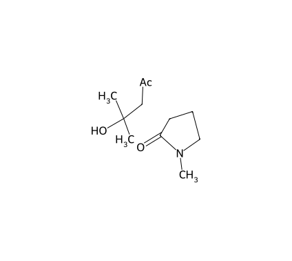 CC(=O)CC(C)(C)O.CN1CCCC1=O